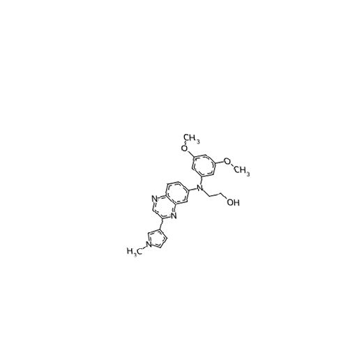 COc1cc(OC)cc(N(CCO)c2ccc3ncc(-c4ccn(C)c4)nc3c2)c1